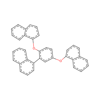 c1ccc2c(Oc3ccc(Oc4cccc5ccccc45)c(-c4cccc5ccccc45)c3)cccc2c1